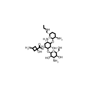 CCNC[C@@H]1CC[C@@H](N)[C@@H](OC2[C@@H](N)C[C@@H](NC(=O)C3(O)CC(N)C3)[C@H](O[C@H]3O[C@H](CO)[C@@H](O)[C@H](N)[C@H]3O)[C@H]2O)O1